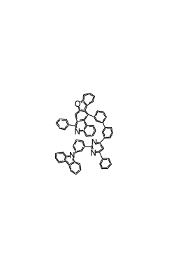 c1ccc(-c2cc(-c3cccc(-c4cccc(-c5c6c(cc7c(-c8ccccc8)nc8ccccc8c57)oc5ccccc56)c4)c3)nc(-c3cccc(-n4c5ccccc5c5ccccc54)c3)n2)cc1